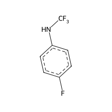 Fc1ccc(NC(F)(F)F)cc1